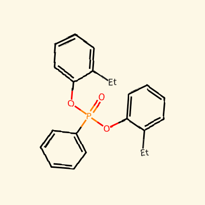 CCc1ccccc1OP(=O)(Oc1ccccc1CC)c1ccccc1